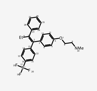 CCC(=C(c1ccc(OCCNC)cc1)c1ccc([B-](F)(F)F)cc1)c1ccccc1